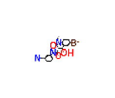 CCn1c(=O)c(C(=O)N(C)c2cccc(C#N)c2)c(O)c2cc(Br)ccc21